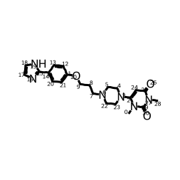 Cn1c(N2CCN(CCCOc3ccc(-c4ncc[nH]4)cc3)CC2)cc(=O)n(C)c1=O